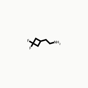 NCCC1CC(F)(F)C1